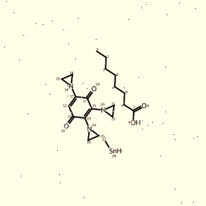 CCCCCCCC(=O)O.O=C1C=C(N2CC2)C(=O)C(N2CC2)=C1N1CC1.[CH3][SnH]